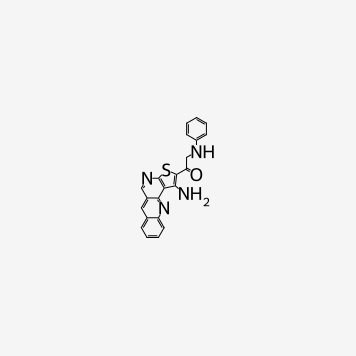 Nc1c(C(=O)CNc2ccccc2)sc2ncc3cc4ccccc4nc3c12